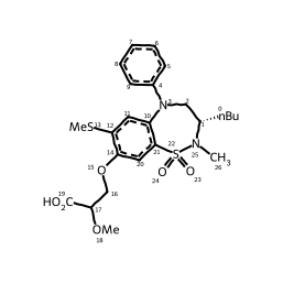 CCCC[C@H]1CN(c2ccccc2)c2cc(SC)c(OCC(OC)C(=O)O)cc2S(=O)(=O)N1C